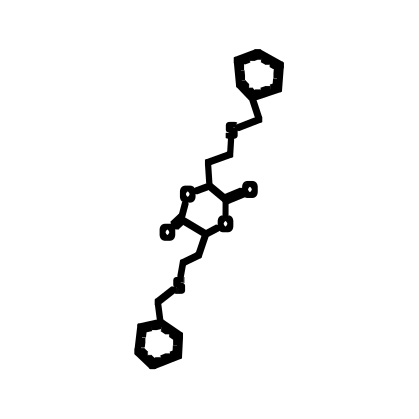 O=C1OC(CCSCc2ccccc2)C(=O)OC1CCSCc1ccccc1